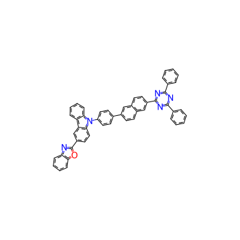 c1ccc(-c2nc(-c3ccccc3)nc(-c3ccc4cc(-c5ccc(-n6c7ccccc7c7cc(-c8nc9ccccc9o8)ccc76)cc5)ccc4c3)n2)cc1